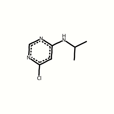 CC(C)Nc1cc(Cl)ncn1